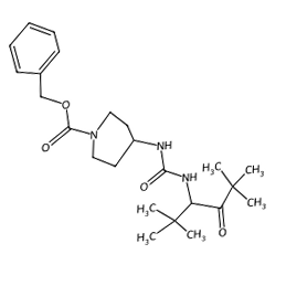 CC(C)(C)C(=O)C(NC(=O)NC1CCN(C(=O)OCc2ccccc2)CC1)C(C)(C)C